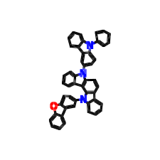 c1ccc(-n2c3ccccc3c3cc(-n4c5ccccc5c5c4ccc4c6ccccc6n(-c6ccc7oc8ccccc8c7c6)c45)ccc32)cc1